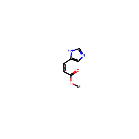 CCOC(=O)/C=C\c1cnc[nH]1